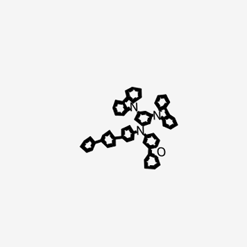 c1ccc(-c2ccc(-c3ccc(N(c4cc(-n5c6ccccc6c6ccccc65)cc(-n5c6ccccc6c6ccccc65)c4)c4ccc5oc6ccccc6c5c4)cc3)cc2)cc1